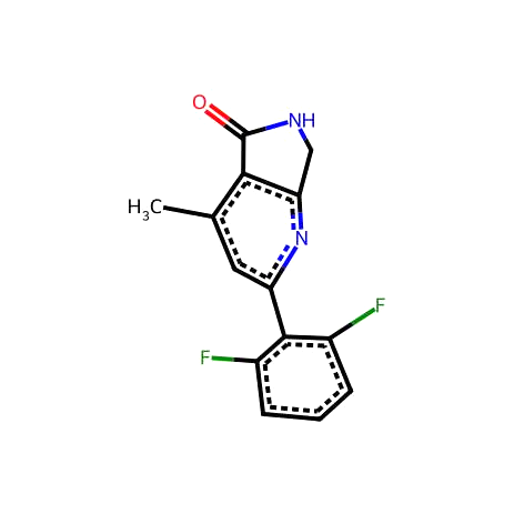 Cc1cc(-c2c(F)cccc2F)nc2c1C(=O)NC2